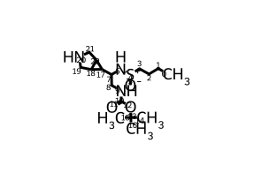 CCCC[S+]([O-])NC(CNC(=O)OC(C)(C)C)C1C2CNCC21